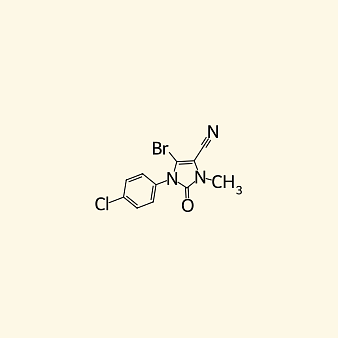 Cn1c(C#N)c(Br)n(-c2ccc(Cl)cc2)c1=O